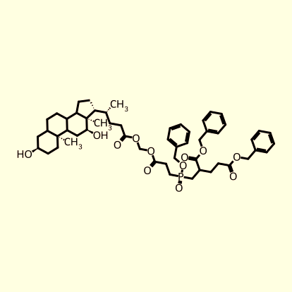 C[C@H](CCC(=O)OCOC(=O)CCP(=O)(CC(CCC(=O)OCc1ccccc1)C(=O)OCc1ccccc1)OCc1ccccc1)[C@H]1CCC2C3CCC4C[C@H](O)CC[C@]4(C)C3C[C@H](O)[C@@]21C